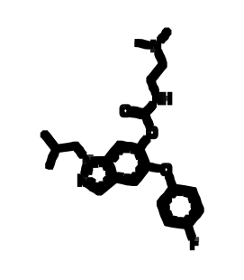 CC(C)Cn1ncc2cc(Oc3ccc(F)cc3)c(OC(=O)NCCN(C)C)cc21